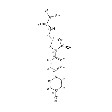 O=C1O[C@@H](CNC(=S)C(F)F)CN1c1ccc(N2CC[S+]([O-])CC2)cc1